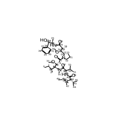 CC[C@H](C)[C@@H]([C@@H](CC(=O)N1CCC[C@H]1[C@H](OC)[C@@H](C)C(=O)N[C@H](C)[C@@H](O)c1ccccc1)OC)N(C)C(=O)[C@@H](NC(=O)[C@H](C(C)C)N(C)SC)C(C)C